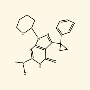 C[S+]([O-])c1nc2c(c(C3(c4ccccc4)CC3)nn2C2CCCCO2)c(=O)[nH]1